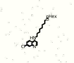 CCCCCCOCCCCCCCCNc1ccnc2cc(Cl)ccc12